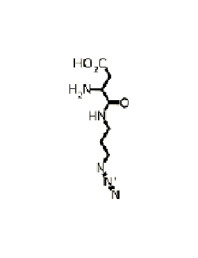 [N-]=[N+]=NCCCNC(=O)C(N)CC(=O)O